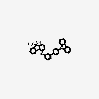 CC1(C)c2ccccc2-c2c(Nc3cccc(-c4ccc(-n5c6ccccc6c6ccccc65)cc4)c3)cccc21